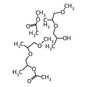 COC(C)=O.COCC(C)OCC(C)O.COCC(C)OCC(C)OC(C)=O